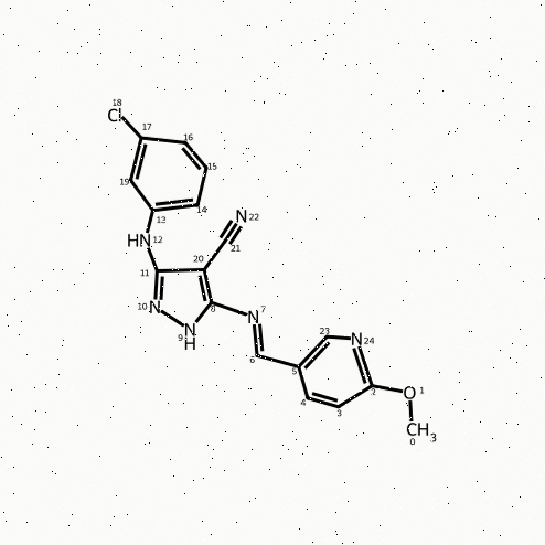 COc1ccc(/C=N/c2[nH]nc(Nc3cccc(Cl)c3)c2C#N)cn1